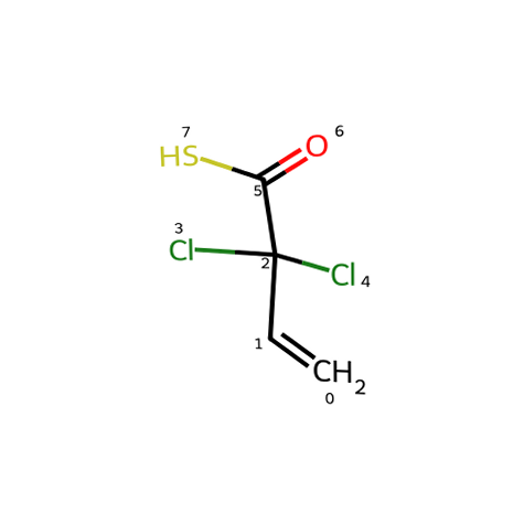 C=CC(Cl)(Cl)C(=O)S